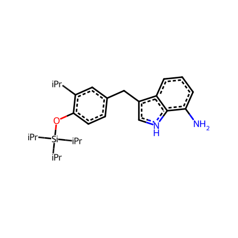 CC(C)c1cc(Cc2c[nH]c3c(N)cccc23)ccc1O[Si](C(C)C)(C(C)C)C(C)C